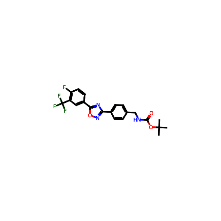 CC(C)(C)OC(=O)NCc1ccc(-c2noc(-c3ccc(F)c(C(F)(F)F)c3)n2)cc1